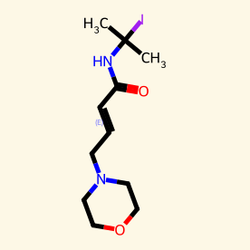 CC(C)(I)NC(=O)/C=C/CN1CCOCC1